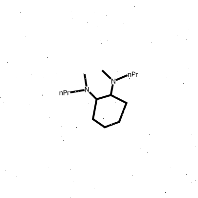 CCCN(C)C1CCCCC1N(C)CCC